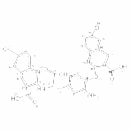 Nc1cc(C[C@H](Nc2nc3ccc(Cl)cc3cc2C(=O)O)C(=O)O)ccc1Oc1nc2ccc(Cl)cc2cc1C(=O)O